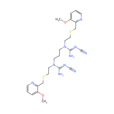 COc1cccnc1CSCCN(CCCN(CCSCc1ncccc1OC)C(N)=NC#N)C(N)=NC#N